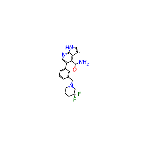 NC(=O)c1c(-c2cccc(CN3CCCC(F)(F)C3)c2)cnc2[nH]c[c]c12